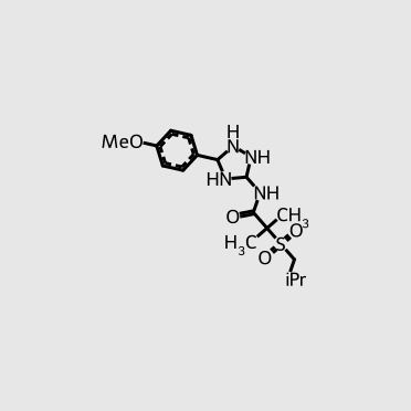 COc1ccc(C2NNC(NC(=O)C(C)(C)S(=O)(=O)CC(C)C)N2)cc1